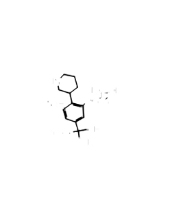 CCCCCCC(C)(C)c1ccc(C2CCCNC2)c(OOP(=O)(O)O)c1.[NaH]